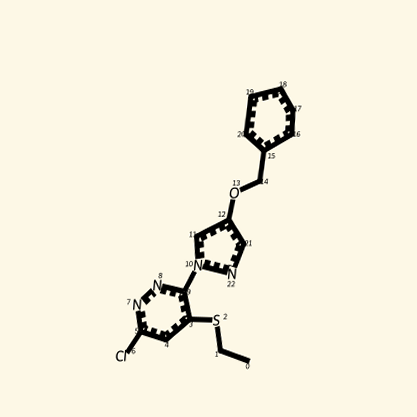 CCSc1cc(Cl)nnc1-n1cc(OCc2ccccc2)cn1